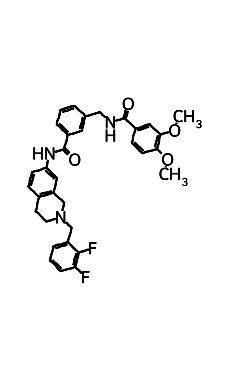 COc1ccc(C(=O)NCc2cccc(C(=O)Nc3ccc4c(c3)CN(Cc3cccc(F)c3F)CC4)c2)cc1OC